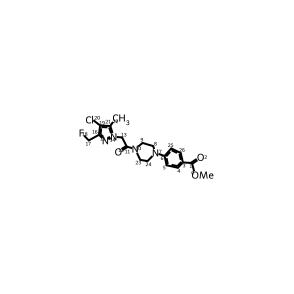 COC(=O)c1ccc(N2CCN(C(=O)Cn3nc(CF)c(Cl)c3C)CC2)cc1